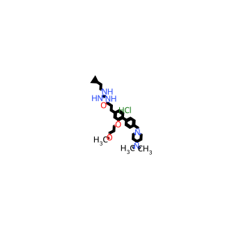 COCCCOc1cc(CCC(=O)NC(=N)NCCC2CC2)ccc1-c1ccc(CN2CCC(N(C)C)CC2)cc1.Cl